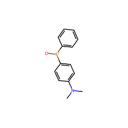 CN(C)c1ccc([S+]([O-])c2ccccc2)cc1